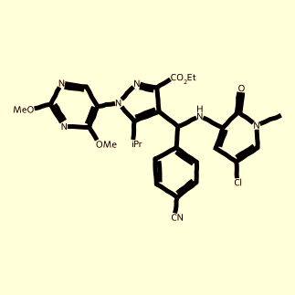 CCOC(=O)c1nn(-c2cnc(OC)nc2OC)c(C(C)C)c1C(Nc1cc(Cl)cn(C)c1=O)c1ccc(C#N)cc1